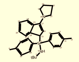 Cc1ccc([Si](NC(C)(C)C)(c2ccc(C)cc2)C2C=C(N3CCCC3)c3ccccc32)cc1